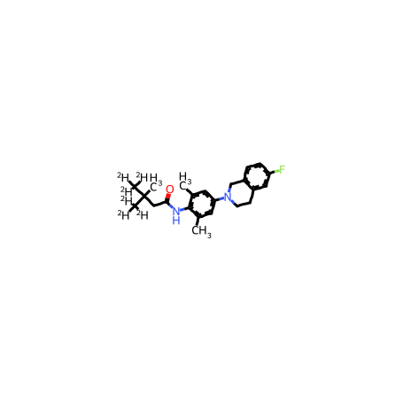 [2H]C([2H])([2H])C(C)(CC(=O)Nc1c(C)cc(N2CCc3cc(F)ccc3C2)cc1C)C([2H])([2H])[2H]